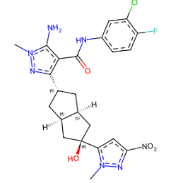 Cn1nc([N+](=O)[O-])cc1[C@]1(O)C[C@H]2C[C@H](c3nn(C)c(N)c3C(=O)Nc3ccc(F)c(Cl)c3)C[C@H]2C1